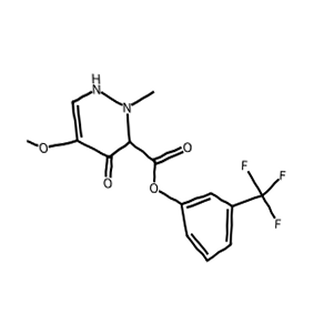 COC1=CNN(C)C(C(=O)Oc2cccc(C(F)(F)F)c2)C1=O